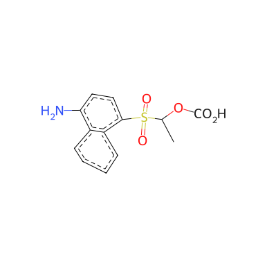 CC(OC(=O)O)S(=O)(=O)c1ccc(N)c2ccccc12